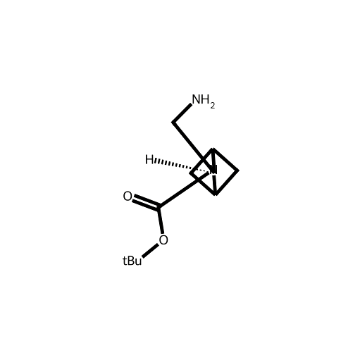 CC(C)(C)OC(=O)N1C2CC(C2)[C@H]1CN